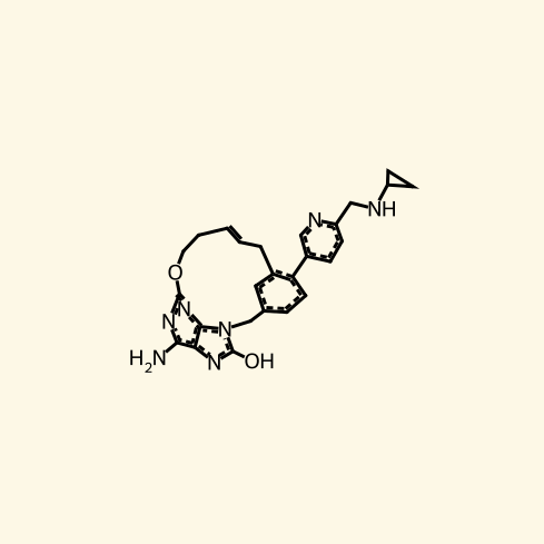 Nc1nc2nc3c1nc(O)n3Cc1ccc(-c3ccc(CNC4CC4)nc3)c(c1)C/C=C/CCO2